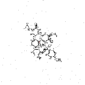 Cc1ccc(S(=O)(=O)n2c(-c3cccc(F)c3F)cc3c(-c4cc(=O)n(C5CC5)cc4-c4ccccc4)cn(C)c(=O)c32)cc1